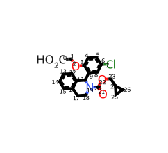 O=C(O)COc1ccc(Cl)cc1C1c2ccccc2CCN1C(=O)OCC1CC1